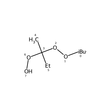 CC[C](C)OOC(C)(CC)OO